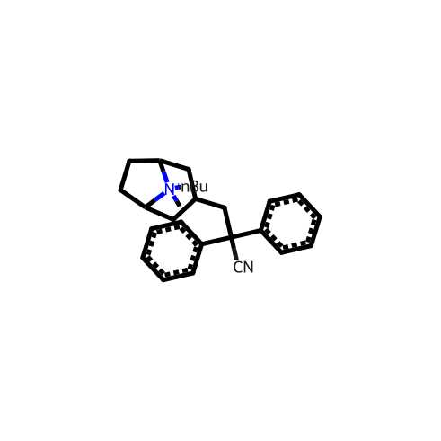 CCCC[N+]1(C)C2CCC1CC(CC(C#N)(c1ccccc1)c1ccccc1)C2